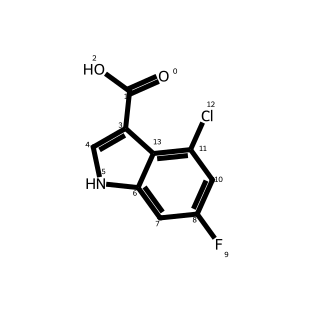 O=C(O)c1c[nH]c2cc(F)cc(Cl)c12